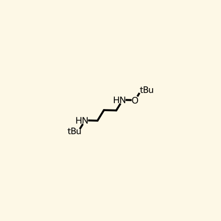 CC(C)(C)NCCCNOC(C)(C)C